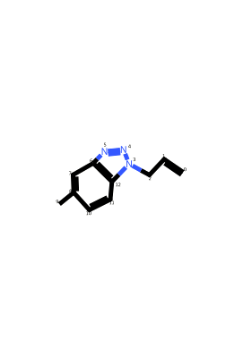 C=CCn1nnc2cc(C)ccc21